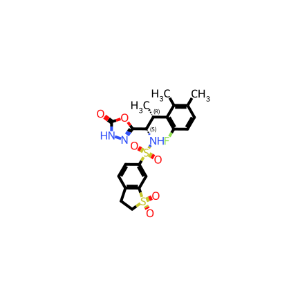 Cc1ccc(F)c([C@@H](C)[C@H](NS(=O)(=O)c2ccc3c(c2)S(=O)(=O)CC3)c2n[nH]c(=O)o2)c1C